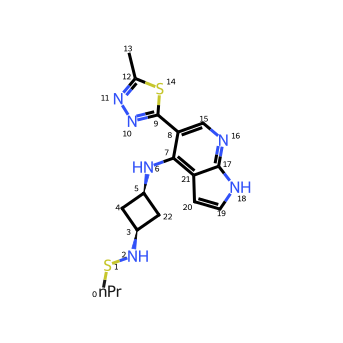 CCCSN[C@H]1C[C@@H](Nc2c(-c3nnc(C)s3)cnc3[nH]ccc23)C1